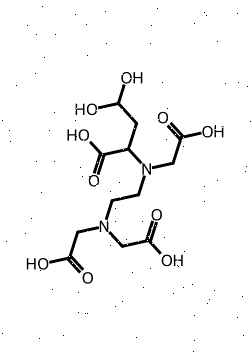 O=C(O)CN(CCN(CC(=O)O)C(CC(O)O)C(=O)O)CC(=O)O